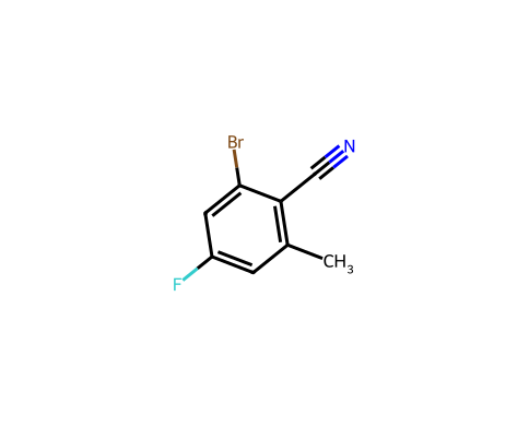 Cc1cc(F)cc(Br)c1C#N